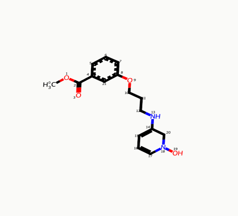 COC(=O)c1cccc(OCCCNC2=CC=CN(O)C2)c1